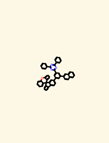 c1ccc(-c2nc(-c3ccccc3)nc(-c3cc(-c4ccc5c(c4)C4(c6ccccc6Oc6ccccc64)c4ccccc4-5)cc(-c4ccc5ccccc5c4)c3)n2)cc1